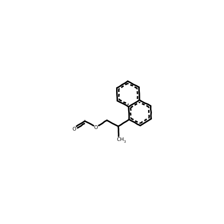 CC(CO[C]=O)c1cccc2ccccc12